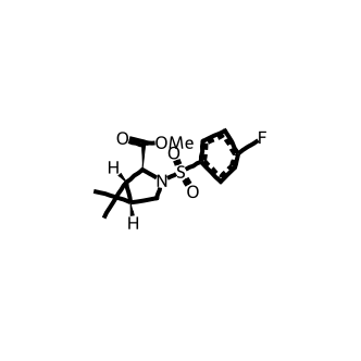 COC(=O)[C@@H]1[C@@H]2[C@H](CN1S(=O)(=O)c1ccc(F)cc1)C2(C)C